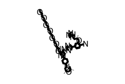 COCCOCCOCCOCCOCCOCCOc1nn(C2CCC(N3C[C@@H](C)O[C@@H](C)C3)CC2)cc1Nc1ncc(-c2ccc(C#N)c(O[C@@H](C)Cn3cnnn3)c2)cn1